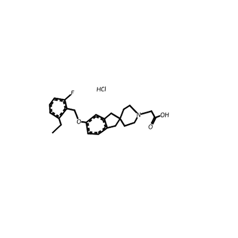 CCc1cccc(F)c1COc1ccc2c(c1)CC1(CCN(CC(=O)O)CC1)C2.Cl